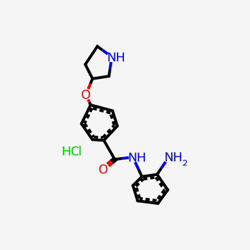 Cl.Nc1ccccc1NC(=O)c1ccc(OC2CCNC2)cc1